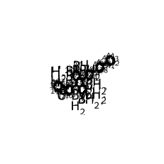 Bc1c(B)c(B)c2c(-c3ccc4oc5ccccc5c4c3)c3c(B)c(B)c(B)c(B)c3c(-c3ccc(-c4ccc(-c5ccccc5)cc4)cc3)c2c1B